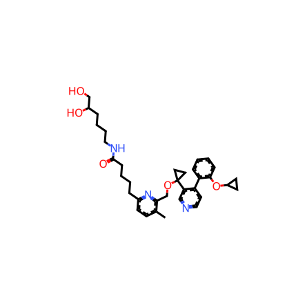 Cc1ccc(CCCCC(=O)NCCCCC(O)CO)nc1COC1(c2cnccc2-c2ccccc2OC2CC2)CC1